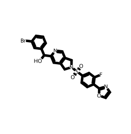 O=S(=O)(c1ccc(-c2ncco2)c(F)c1)N1Cc2cnc(C(O)c3cccc(Br)c3)cc2C1